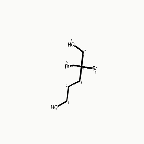 OCCCC(Br)(Br)CO